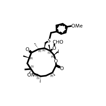 COc1ccc(CSC[C@@H]2[C@@H](C)C(=O)[C@H](C)C[C@@](C)(OC)C[C@@H](C)C[C@@H](C)C(=O)O[C@H](I)[C@@]2(C)OC=O)cc1